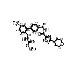 C[C@@H](NC(=O)c1nc(C2CCOCC2)no1)c1ccc(-c2cc(C(F)(F)F)ccc2CNC(=O)OC(C)(C)C)cc1